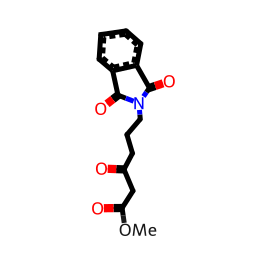 COC(=O)CC(=O)CCCN1C(=O)c2ccccc2C1=O